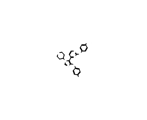 Cc1ccc(Oc2nccc(-c3c(Oc4ccc(F)cc4)ncn3C3CCNCC3)n2)cc1